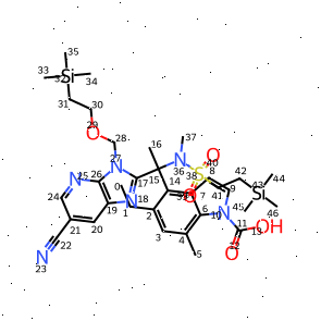 CCc1cc(C)c2c(ccn2C(=O)O)c1C(C)(c1nc2cc(C#N)cnc2n1COCC[Si](C)(C)C)N(C)S(=O)(=O)CC[Si](C)(C)C